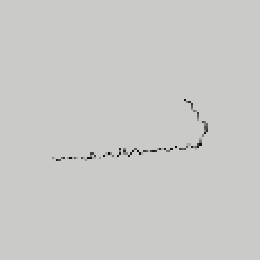 CCCCC/C=C\C/C=C\CCCCCCCCCCOCCCOCCCCCC